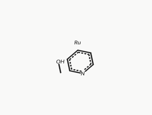 CO.[Ru].c1ccncc1